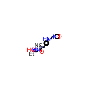 CCC(O)CNC(=O)/C(C#N)=C/c1ccc(NCCN2CCOCC2)cc1